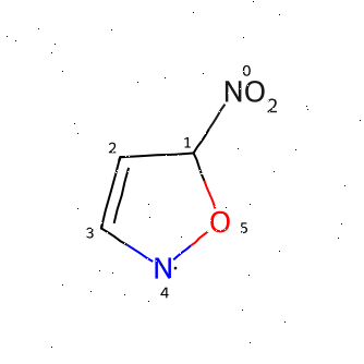 O=[N+]([O-])C1C=C[N]O1